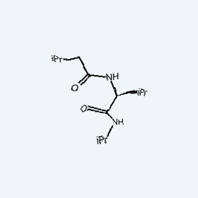 CC(C)CC(=O)N[C@H](C(=O)NC(C)C)C(C)C